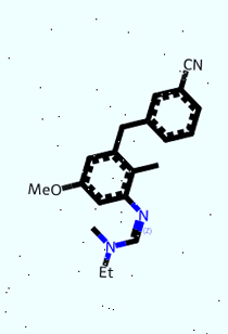 CCN(C)/C=N\c1cc(OC)cc(Cc2cccc(C#N)c2)c1C